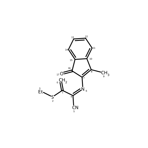 C=C(SCC)/C(C#N)=N\C1=C(C)c2ccccc2C1=O